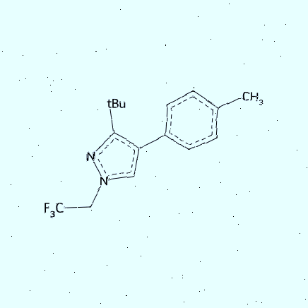 Cc1ccc(-c2cn(CC(F)(F)F)nc2C(C)(C)C)cc1